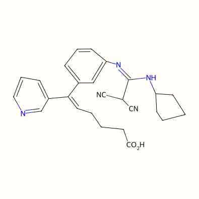 N#CC(C#N)C(=Nc1cccc(/C(=C\CCCC(=O)O)c2cccnc2)c1)NC1CCCC1